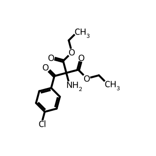 CCOC(=O)C(N)(C(=O)OCC)C(=O)c1ccc(Cl)cc1